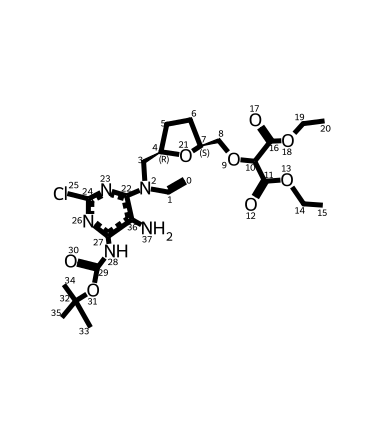 C=CN(C[C@H]1CC[C@@H](COC(C(=O)OCC)C(=O)OCC)O1)c1nc(Cl)nc(NC(=O)OC(C)(C)C)c1N